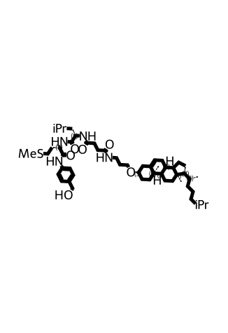 CSCC[C@H](NC(=O)[C@H](CC(C)C)NC(=O)CCC(=O)NCCCO[C@H]1CC[C@@]2(C)C(=CC[C@H]3C4CC[C@H]([C@H](C)CCCC(C)C)[C@@]4(C)CC[C@@H]32)C1)C(=O)Nc1ccc(CO)cc1